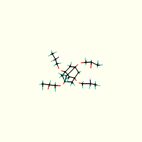 NC(F)(C(F)(F)F)C(F)(F)OC12C(F)(F)C3(OC(F)(F)C(N)(F)C(F)(F)F)C(F)(F)C(OC(F)(F)C(O)(F)C(F)(F)F)(C1(F)F)C(F)(F)C(OC(F)(F)C(O)(F)C(F)(F)F)(C2(F)F)C3(F)F